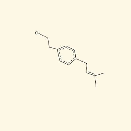 CC(C)=CCc1ccc(CCCl)cc1